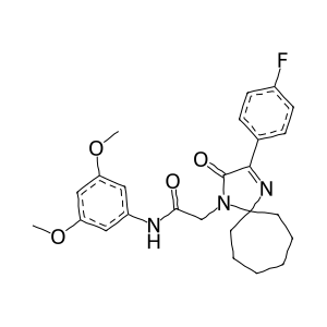 COc1cc(NC(=O)CN2C(=O)C(c3ccc(F)cc3)=NC23CCCCCC3)cc(OC)c1